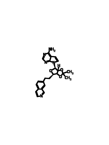 CC1(C)OC2[C@@H](O1)[C@H](n1ccc3c(N)ncnc31)O[C@@H]2CCc1ccc2ccncc2c1